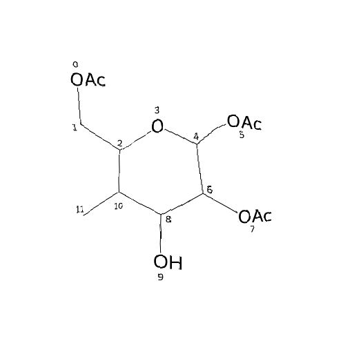 CC(=O)OCC1OC(OC(C)=O)C(OC(C)=O)C(O)C1C